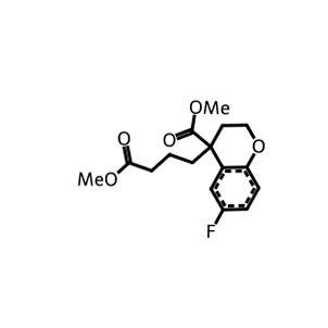 COC(=O)CCCC1(C(=O)OC)CCOc2ccc(F)cc21